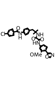 COc1cc(NC(=O)C(=O)NC(C)(C)Cc2ccc(NC(=O)c3ccc(Cl)cc3)cc2)ccc1-c1cnco1